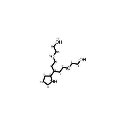 OCCOCC[C](CCOCCO)C1CCCN1